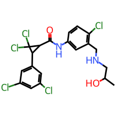 CC(O)CNCc1cc(NC(=O)C2C(c3cc(Cl)cc(Cl)c3)C2(Cl)Cl)ccc1Cl